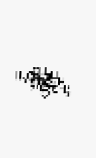 C[Si](C)(C)C1=[C]([Sm+][C]2=C([Si](C)(C)C)C=CC2)CC=C1.[H-]